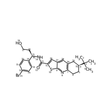 CC(C)(C)[C@H]1CCc2nc3sc(C(=O)N[C@H](CCO)c4ccc(Br)cc4)cc3cc2C1